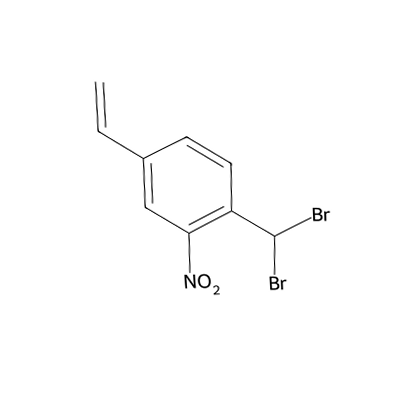 C=Cc1ccc(C(Br)Br)c([N+](=O)[O-])c1